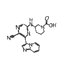 N#Cc1ncc(N[C@@H]2CCCN(C(=O)O)C2)nc1-c1cnc2ccccn12